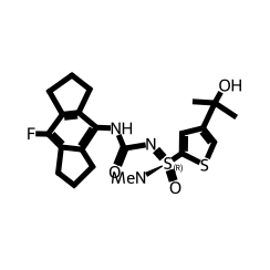 CN[S@@](=O)(=NC(=O)Nc1c2c(c(F)c3c1CCC3)CCC2)c1cc(C(C)(C)O)cs1